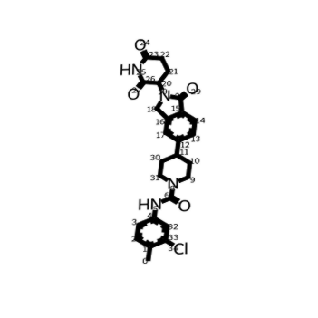 Cc1ccc(NC(=O)N2CCC(c3ccc4c(c3)CN(C3CCC(=O)NC3=O)C4=O)CC2)cc1Cl